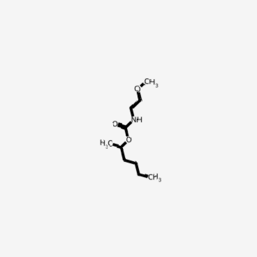 CCCCC(C)OC(=O)NCCOC